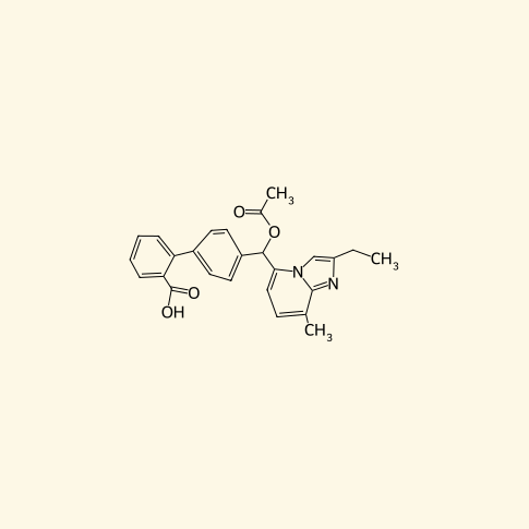 CCc1cn2c(C(OC(C)=O)c3ccc(-c4ccccc4C(=O)O)cc3)ccc(C)c2n1